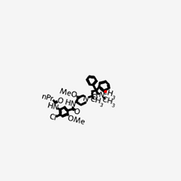 CCCC(=O)Nc1cc(C(=O)N[C@@H]2CCN(C(C)CC(C(=O)N(C)C)(c3ccccc3)c3ccccc3)C[C@@H]2OC)c(OC)cc1Cl